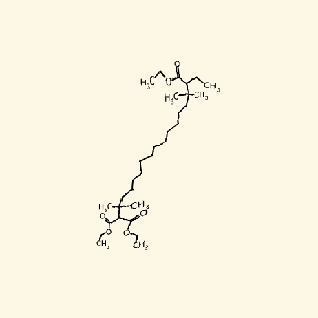 CCOC(=O)C(CC)C(C)(C)CCCCCCCCCCCCC(C)(C)C(C(=O)OCC)C(=O)OCC